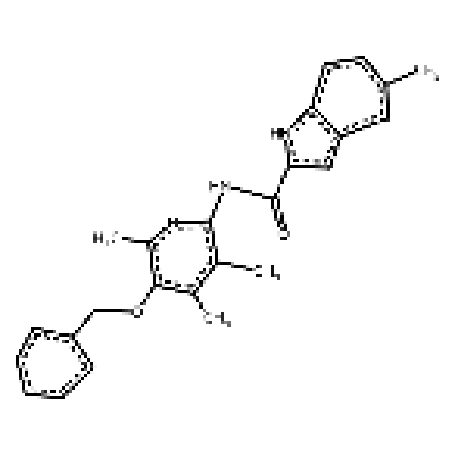 Cc1nc(NC(=O)c2cc3cc(C(F)(F)F)ccc3[nH]2)c(C)c(C)c1OCc1ccccc1